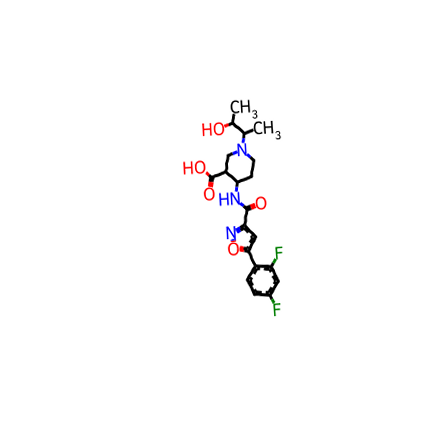 CC(O)C(C)N1CCC(NC(=O)c2cc(-c3ccc(F)cc3F)on2)C(C(=O)O)C1